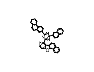 c1ccc2cc(-c3nc(-c4ccc5c(ccc6ccccc65)c4)nc(-c4nccc5oc6c7ccccc7ccc6c45)n3)ccc2c1